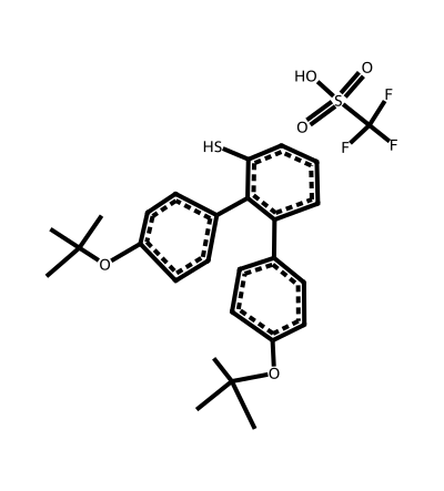 CC(C)(C)Oc1ccc(-c2cccc(S)c2-c2ccc(OC(C)(C)C)cc2)cc1.O=S(=O)(O)C(F)(F)F